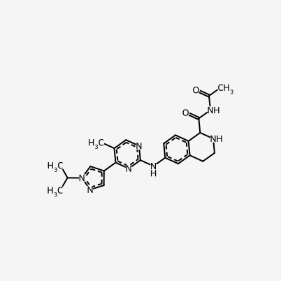 CC(=O)NC(=O)C1NCCc2cc(Nc3ncc(C)c(-c4cnn(C(C)C)c4)n3)ccc21